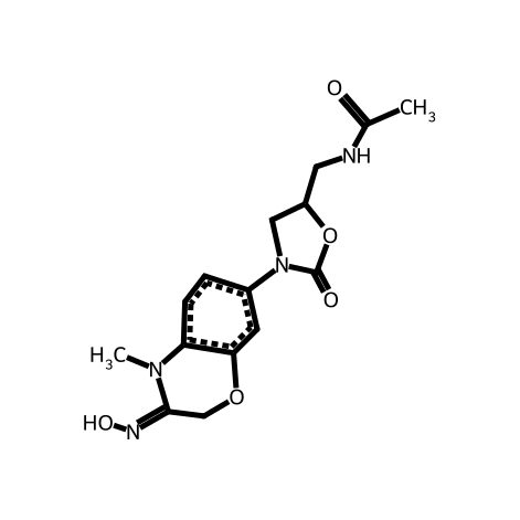 CC(=O)NCC1CN(c2ccc3c(c2)OCC(=NO)N3C)C(=O)O1